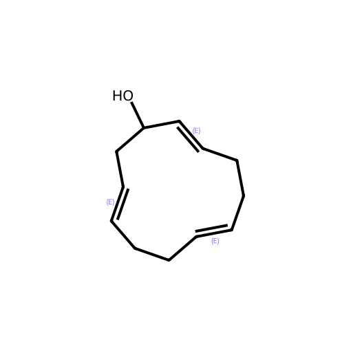 OC1/C=C/CC/C=C/CC/C=C/C1